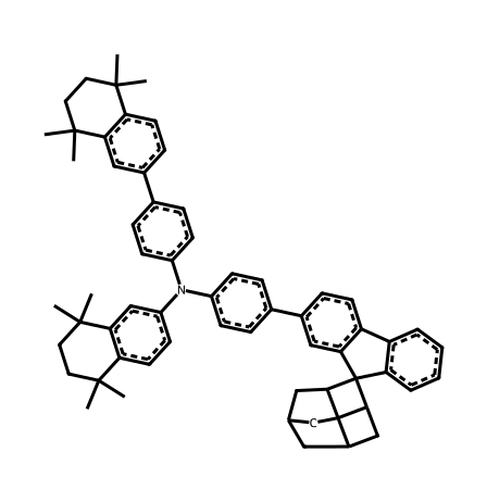 CC1(C)CCC(C)(C)c2cc(-c3ccc(N(c4ccc(-c5ccc6c(c5)C5(c7ccccc7-6)C6CC7CC8CC5C86C7)cc4)c4ccc5c(c4)C(C)(C)CCC5(C)C)cc3)ccc21